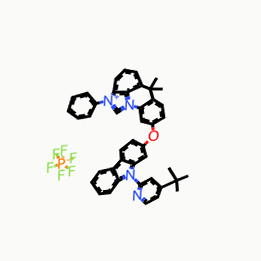 CC(C)(C)c1ccnc(-n2c3ccccc3c3ccc(Oc4ccc5c(c4)-n4c[n+](-c6ccccc6)c6cccc(c64)C5(C)C)cc32)c1.F[P-](F)(F)(F)(F)F